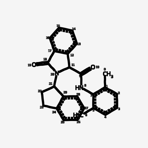 Cc1cccc(C)c1NC(=O)C1c2ccccc2C(=O)N1C1CCc2ccccc21